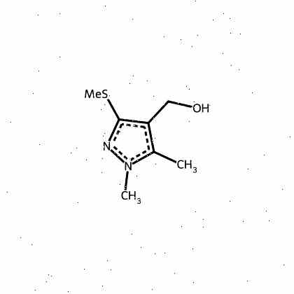 CSc1nn(C)c(C)c1CO